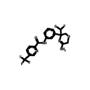 NC1=NC(c2cccc(NC(=O)c3ccc(C(F)(F)F)cn3)c2)(C(F)F)COC1